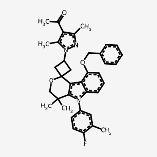 CC(=O)c1c(C)nn(C2CC3(C2)OCC(C)(C)c2c3c3c(OCc4ccccc4)cccc3n2-c2ccc(F)c(C)c2)c1C